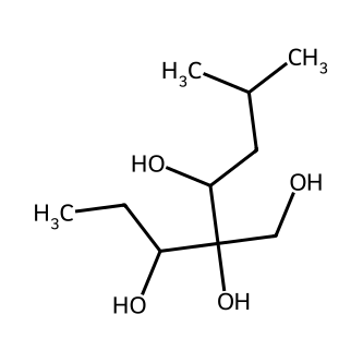 CCC(O)C(O)(CO)C(O)CC(C)C